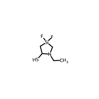 CCN1C[Si](F)(F)CC1S